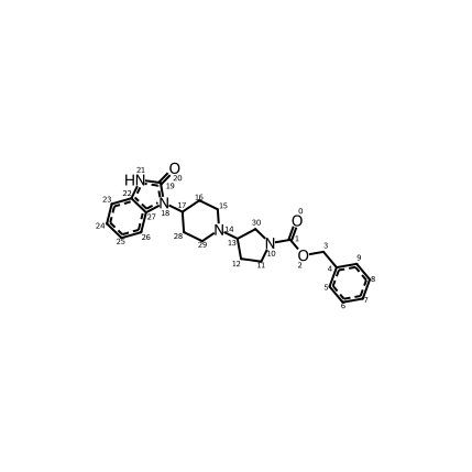 O=C(OCc1ccccc1)N1CCC(N2CCC(n3c(=O)[nH]c4ccccc43)CC2)C1